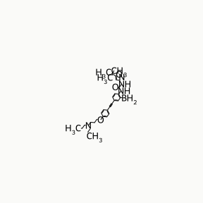 Bc1cc(C#Cc2ccc(OCCCN(CCC)CCC)cc2)ccc1NC(=O)Nc1cc(C(C)(C)C)on1